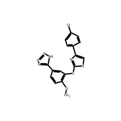 COc1ccc(-c2nnn[nH]2)cc1Sc1nc(-c2ccc(Cl)cc2)cs1